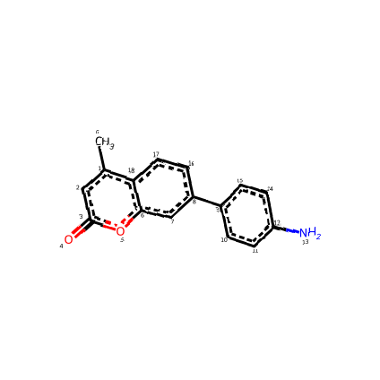 Cc1cc(=O)oc2cc(-c3ccc(N)cc3)ccc12